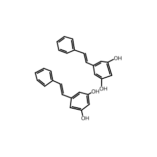 Oc1cc(O)cc(/C=C/c2ccccc2)c1.Oc1cc(O)cc(/C=C/c2ccccc2)c1